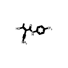 C/C(O)=C(/C#CN)C(=O)Nc1ccc(C(F)(F)F)cc1